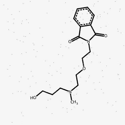 CN(CCCO)CCOCCN1C(=O)c2ccccc2C1=O